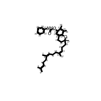 CC(C)=CCCC(C)=CCCC(C)=CCC[C@]1(C)CCc2cc(OC(=O)Nc3ccccc3)c(C)c(C)c2O1